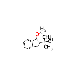 COC1c2ccccc2CC1C(C)(C)C